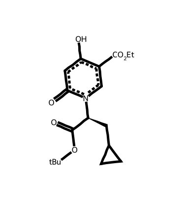 CCOC(=O)c1cn([C@@H](CC2CC2)C(=O)OC(C)(C)C)c(=O)cc1O